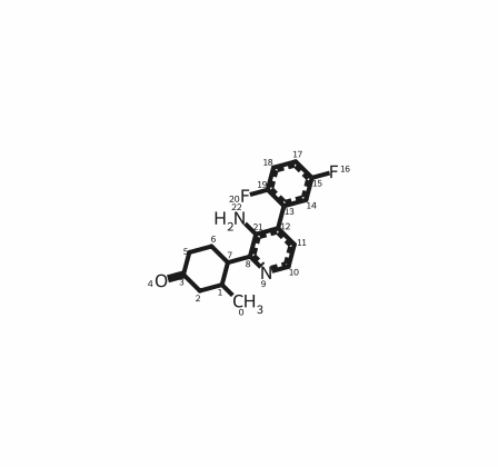 CC1CC(=O)CCC1c1nccc(-c2cc(F)ccc2F)c1N